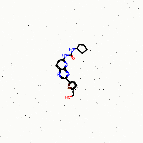 O=C(Nc1ccc2ncc(-c3ccc(CO)s3)nc2n1)NC1CCCC1